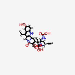 C#CCCC(CN(C)C(=O)O)(N(C)C(=O)O)C1(CC)C(=O)OCc2c1cc1n(c2=O)Cc2c-1nc1ccc(O)cc1c2CC